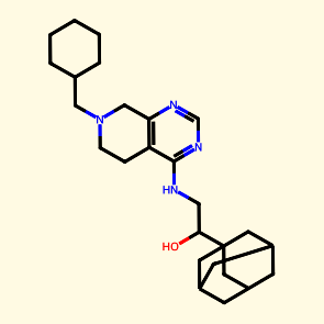 OC(CNc1ncnc2c1CCN(CC1CCCCC1)C2)C12CC3CC(CC(C3)C1)C2